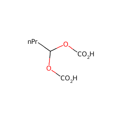 CCCC(OC(=O)O)OC(=O)O